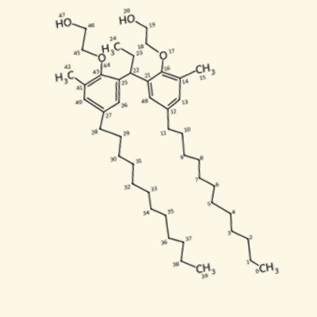 CCCCCCCCCCCCc1cc(C)c(OCCO)c(C(CC)c2cc(CCCCCCCCCCCC)cc(C)c2OCCO)c1